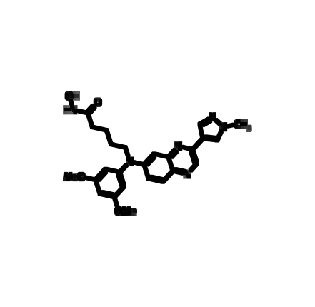 COc1cc(OC)cc(N(CCCCC(=O)NO)c2ccc3ncc(-c4cnn(C)c4)nc3c2)c1